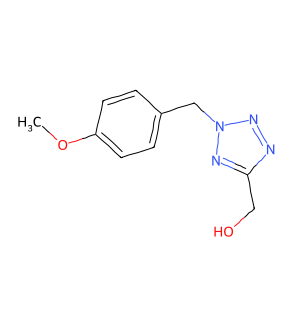 COc1ccc(Cn2nnc(CO)n2)cc1